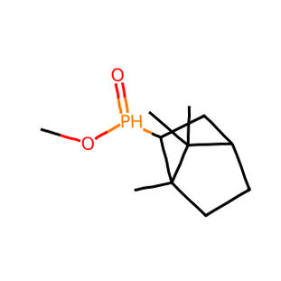 CO[PH](=O)C1CC2CCC1(C)C2(C)C